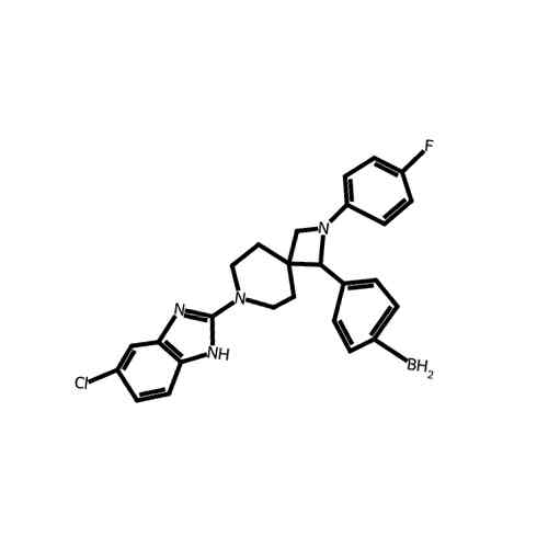 Bc1ccc(C2N(c3ccc(F)cc3)CC23CCN(c2nc4cc(Cl)ccc4[nH]2)CC3)cc1